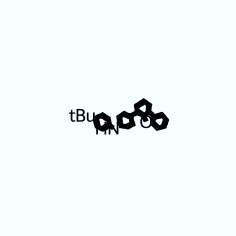 CC(C)(C)c1ccc(Nc2ccc(-c3cccc4c3oc3ccccc34)cc2)cc1